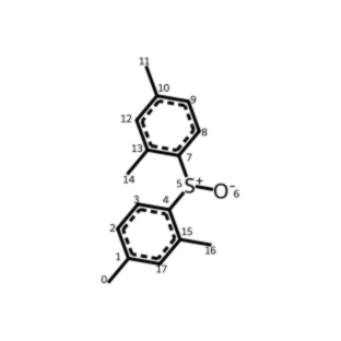 Cc1ccc([S+]([O-])c2ccc(C)cc2C)c(C)c1